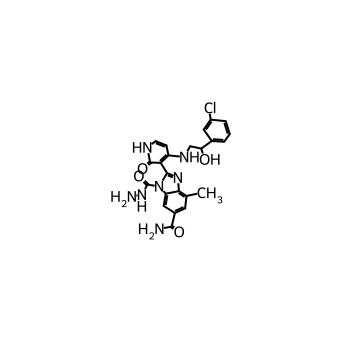 Cc1cc(C(N)=O)cc2c1nc(-c1c(NCC(O)c3cccc(Cl)c3)cc[nH]c1=O)n2C(=O)NN